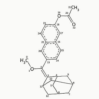 COC(=C1C2CC3CC(C2)CC1C3)c1ccc2cc(OC(C)=O)ccc2c1